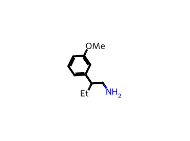 CCC(CN)c1cccc(OC)c1